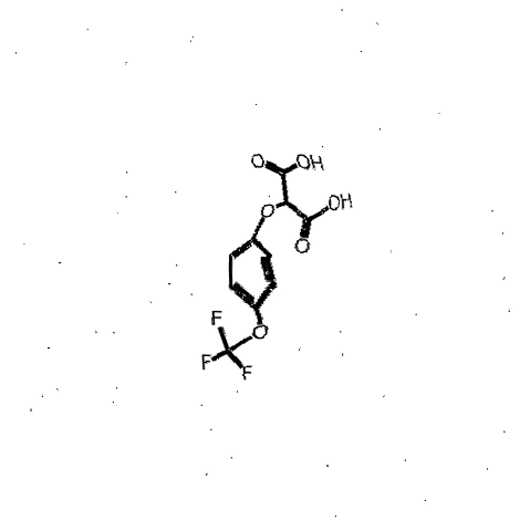 O=C(O)C(Oc1ccc(OC(F)(F)F)cc1)C(=O)O